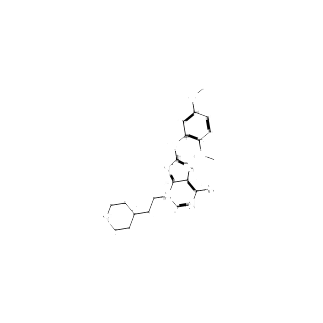 COc1ccc(OC)c(Sc2nc3c(N)ncn(CCC4CCNCC4)c-3n2)c1